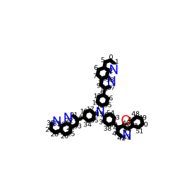 c1cnc2c(c1)ccc1cc(-c3ccc(N(c4ccc(-c5cnc6c(ccc7cccnc76)c5)cc4)c4ccc(-c5ccnc6c5oc5ccccc56)cc4)cc3)cnc12